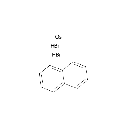 Br.Br.[Os].c1ccc2ccccc2c1